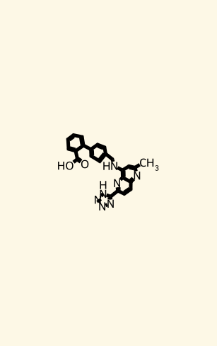 Cc1cc(NCc2ccc(-c3ccccc3C(=O)O)cc2)c2nc(-c3nnn[nH]3)ccc2n1